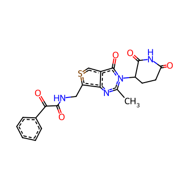 Cc1nc2c(CNC(=O)C(=O)c3ccccc3)scc2c(=O)n1C1CCC(=O)NC1=O